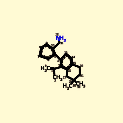 C=C(C)c1c(-c2ccccc2CN)ccc2c1CC(C)(C)CC2